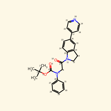 CC(C)(C)OC(=O)N(CC(=O)N1CCc2cc(-c3ccncc3)ccc21)c1ccccc1